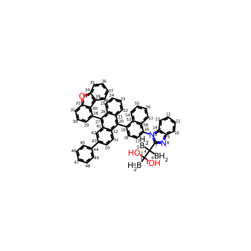 BC(O)(O)C(B)(B)c1nc2ccccc2n1-c1ccc(-c2c3ccccc3c(-c3cccc4oc5ccccc5c34)c3cc(-c4ccccc4)ccc23)c2ccccc12